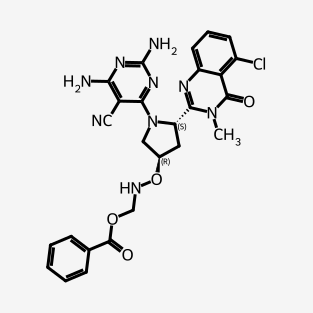 Cn1c([C@@H]2C[C@@H](ONCOC(=O)c3ccccc3)CN2c2nc(N)nc(N)c2C#N)nc2cccc(Cl)c2c1=O